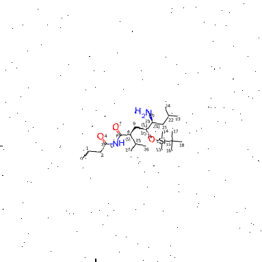 CCCC(=O)NC(=O)[C@@H](C[C@H](O[Si](C)(C)C(C)(C)C)[C@@H](N)CC(C)C)C(C)C